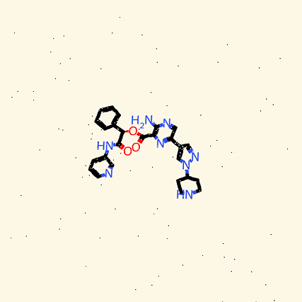 Nc1ncc(-c2cnn(C3CCNCC3)c2)nc1C(=O)O[C@@H](C(=O)Nc1cccnc1)c1ccccc1